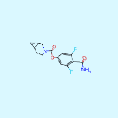 NC(=O)c1c(F)cc(OC(=O)N2CCC3CC3C2)cc1F